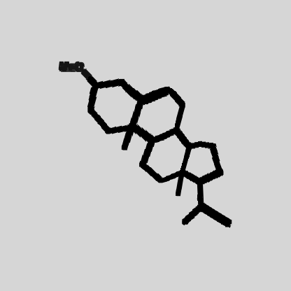 C=C(C)C1CCC2C3CC=C4CC(OC)CCC4(C)C3CCC12C